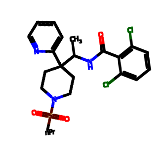 CCCS(=O)(=O)N1CCC(c2ccccn2)(C(C)NC(=O)c2c(Cl)cccc2Cl)CC1